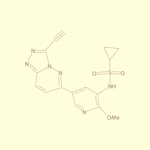 C#Cc1nnc2ccc(-c3cnc(OC)c(NS(=O)(=O)C4CC4)c3)nn12